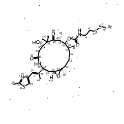 CCCSSCCNC(=O)O[C@H]1[C@@H](C)CCC[C@@]2(C)O[C@H]2C[C@@H](/C(C)=C/c2csc(C)n2)NC(=O)C[C@H](O)C(C)(C)C(=O)[C@@H]1C